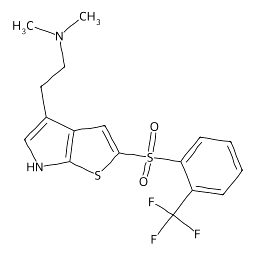 CN(C)CCc1c[nH]c2sc(S(=O)(=O)c3ccccc3C(F)(F)F)cc12